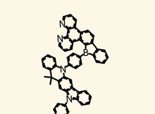 CC1(C)c2ccccc2N(c2ccc(B3c4ccccc4-c4ccc5c6cccnc6c6ncccc6c5c43)cc2)c2cc3c4ccccc4n(-c4ccccc4)c3cc21